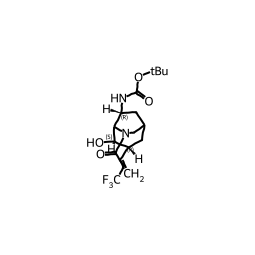 C=C[C@H]1CC2C[C@@H](NC(=O)OC(C)(C)C)C([C@H]1O)N(C(=O)CC(F)(F)F)C2